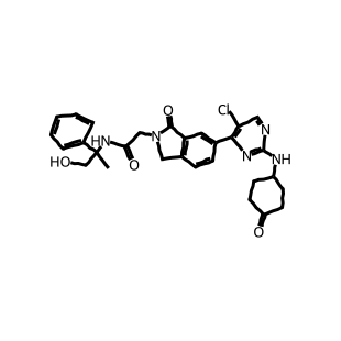 CC(CO)(NC(=O)CN1Cc2ccc(-c3nc(NC4CCC(=O)CC4)ncc3Cl)cc2C1=O)c1ccccc1